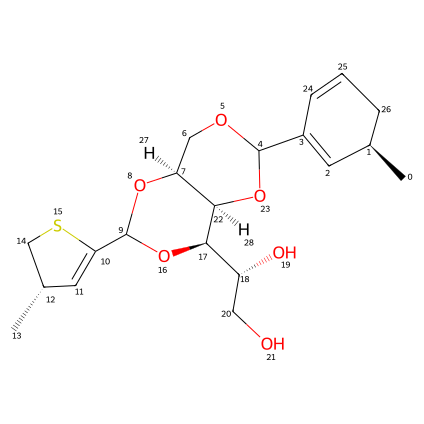 C[C@H]1C=C(C2OC[C@@H]3OC(C4=C[C@H](C)CS4)O[C@H]([C@H](O)CO)[C@@H]3O2)C=CC1